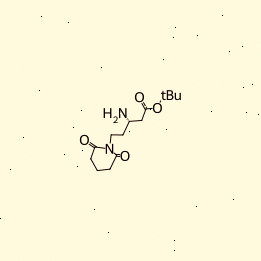 CC(C)(C)OC(=O)C[C@@H](N)CCN1C(=O)CCCC1=O